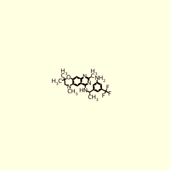 Cc1nc(N[C@H](C)c2cc(N)cc(C(F)(F)F)c2)c2cc3c(cc2n1)OC(C)(C)CN3C